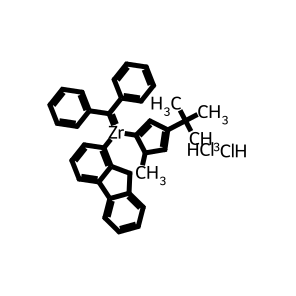 CC1C=C(C(C)(C)C)C=[C]1[Zr](=[C](c1ccccc1)c1ccccc1)[c]1cccc2c1Cc1ccccc1-2.Cl.Cl